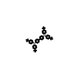 CC(C)(C)c1ccc(N(c2ccc(-c3ccc(N(c4ccc(C(C)(C)C)cc4)c4ccc(C(C)(C)C)cc4)cc3)cc2)c2ccc(C(C)(C)C)cc2)cc1